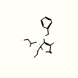 CC(CO)O[C@]1([C@@H](O)CO)OC(=O)C(O)=C1OCc1ccccc1